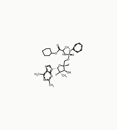 Cc1nc(C)c2ncn([C@@H]3O[C@](F)(COP(=O)(NC(C)C(=O)OC4CCCCC4)Oc4ccccc4)[C@@H](O)[C@@]3(C)F)c2n1